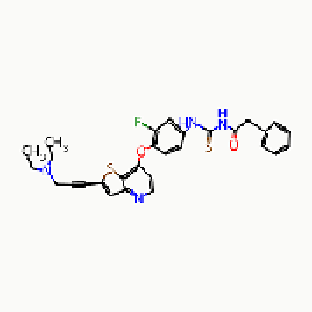 CCN(CC)CC#Cc1cc2nccc(Oc3ccc(NC(=S)NC(=O)Cc4ccccc4)cc3F)c2s1